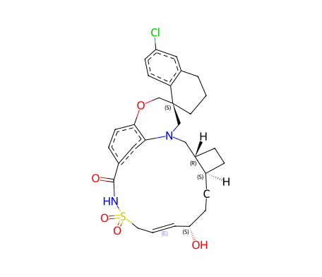 O=C1NS(=O)(=O)C/C=C/[C@@H](O)CC[C@@H]2CC[C@H]2CN2C[C@@]3(CCCc4cc(Cl)ccc43)COc3ccc1cc32